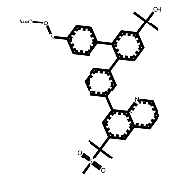 COOSc1ccc(-c2cc(C(C)(C)O)ccc2-c2cccc(-c3cc(C(C)(C)S(C)(=O)=O)cc4cccnc34)c2)cc1